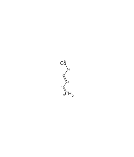 C=CC=C[CH2][Co]